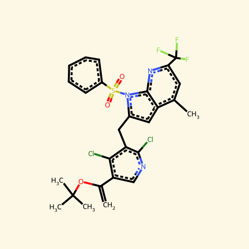 C=C(OC(C)(C)C)c1cnc(Cl)c(Cc2cc3c(C)cc(C(F)(F)F)nc3n2S(=O)(=O)c2ccccc2)c1Cl